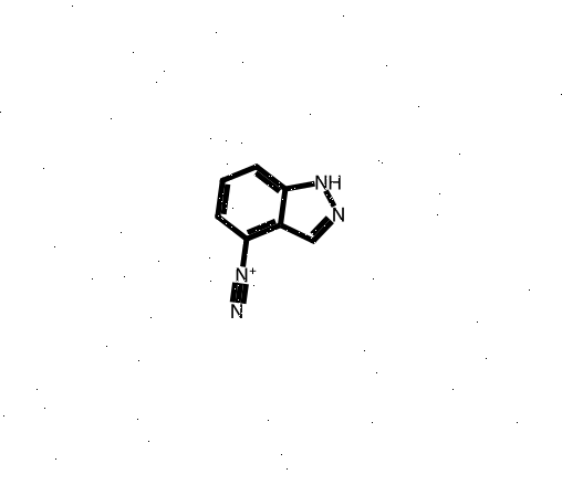 N#[N+]c1cccc2[nH]ncc12